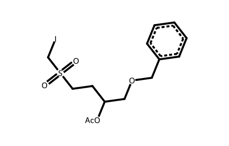 CC(=O)OC(CCS(=O)(=O)CI)COCc1ccccc1